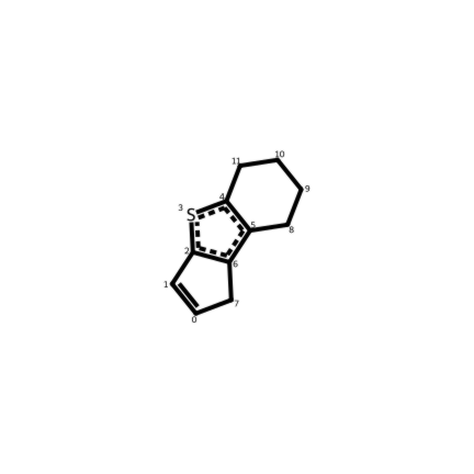 C1=Cc2sc3c(c2C1)CCCC3